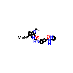 CNCc1ccccc1CN(CC(=O)Nc1ccc2c(c1)C[C@H](C(=O)Nc1ccccn1)C2)C(=O)C1(C)CN(C(C)=O)C1